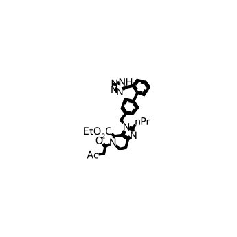 CCCc1nc2c(n1Cc1ccc(-c3ccccc3-c3nnn[nH]3)cc1)C(C(=O)OCC)N(C(=O)CC(C)=O)CC2